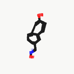 O/N=C/c1ccc2cc(O)ccc2c1